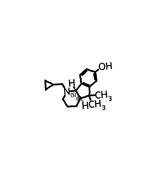 CC1(C)c2cc(O)ccc2[C@@H]2[C@@H]1CCCN2CC1CC1